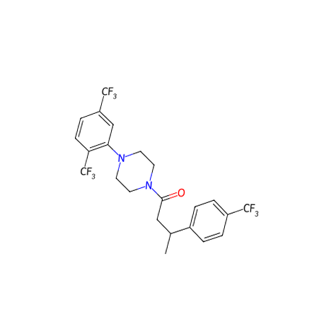 CC(CC(=O)N1CCN(c2cc(C(F)(F)F)ccc2C(F)(F)F)CC1)c1ccc(C(F)(F)F)cc1